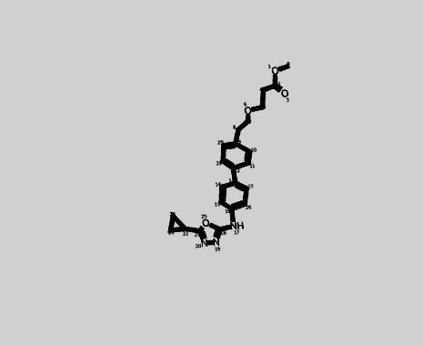 COC(=O)CCOCCc1ccc(-c2ccc(Nc3nnc(C4CC4)o3)cc2)cc1